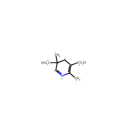 CCOC(=O)C1=C(C)N=CC(C)(C(=O)OCC)C1